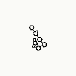 c1ccc(-c2ncc(-c3ccc4c(c3)C3(c5ccccc5-c5ccccc5-4)c4ccccc4-c4ccccc43)cn2)cc1